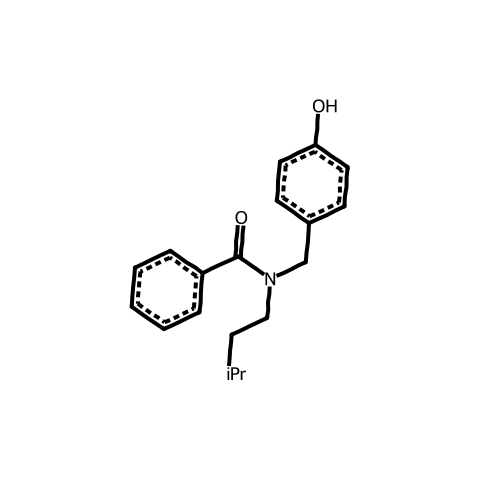 CC(C)CCN(Cc1ccc(O)cc1)C(=O)c1ccccc1